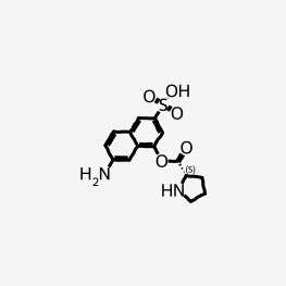 Nc1ccc2cc(S(=O)(=O)O)cc(OC(=O)[C@@H]3CCCN3)c2c1